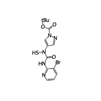 CC(C)(C)OC(=O)n1cc(N(S)C(=O)Nc2ncccc2Br)cn1